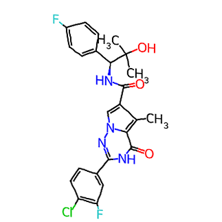 Cc1c(C(=O)N[C@@H](c2ccc(F)cc2)C(C)(C)O)cn2nc(-c3ccc(Cl)c(F)c3)[nH]c(=O)c12